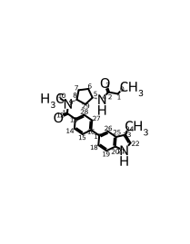 CCC(=O)N[C@H]1CC[C@@H](N(C)C(=O)c2ccc(-c3ccc4[nH]cc(C)c4c3)cc2)C1